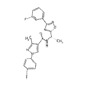 Cc1nn(-c2ccc(F)cc2)cc1C(=O)N[C@@H](C)c1nc(-c2cccc(F)c2)no1